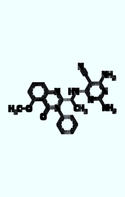 COc1cccc2nc(C(C)Nc3nc(N)nc(N)c3C#N)n(-c3ccccc3)c(=O)c12